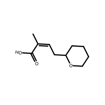 CC(=CCC1CCCCO1)C(=O)O